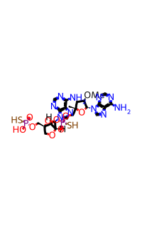 CO[C@@H]1C[C@@](C)(COP(=O)(S)O[C@H]2[C@H]3OC[C@]2(COP(=O)(O)S)O[C@H]3n2cnc3c(N)ncnc32)O[C@H]1n1cnc2c(N)ncnc21